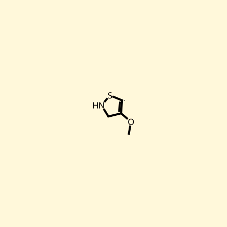 COC1=[C]SNC1